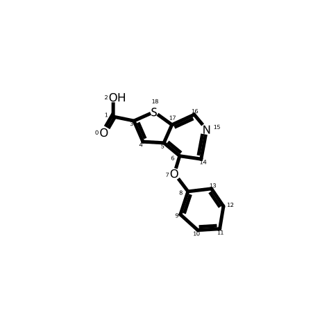 O=C(O)c1cc2c(Oc3ccccc3)cncc2s1